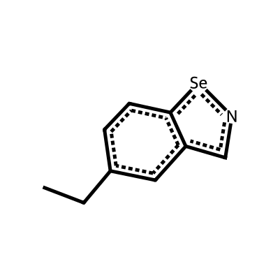 CCc1ccc2[se]ncc2c1